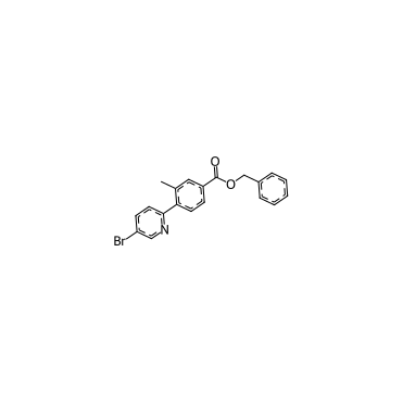 Cc1cc(C(=O)OCc2ccccc2)ccc1-c1ccc(Br)cn1